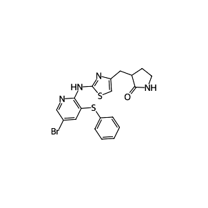 O=C1NCCC1Cc1csc(Nc2ncc(Br)cc2Sc2ccccc2)n1